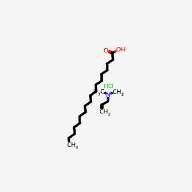 C=CCN(C)C.CCCCCCCCCCCCCCCCCC(=O)O.Cl